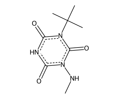 CNn1c(=O)[nH]c(=O)n(C(C)(C)C)c1=O